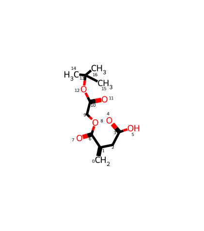 C=C(CC(=O)O)C(=O)OCC(=O)OC(C)(C)C